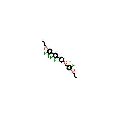 CCCCOc1ccc(COC2CC=C(c3ccc(-c4ccc(OCCCC)c(F)c4F)c(F)c3F)CC2)c(F)c1F